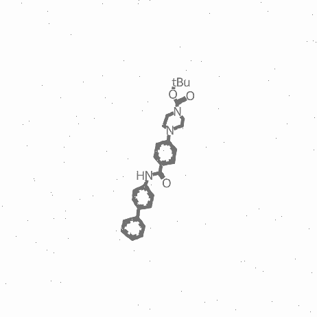 CC(C)(C)OC(=O)N1CCN(c2ccc(C(=O)Nc3ccc(-c4ccccc4)cc3)cc2)CC1